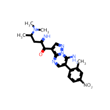 Cc1cc([N+](=O)[O-])ccc1-c1cnc2c(C(=O)C(=N)CC(C)N(C)C)cnn2c1N